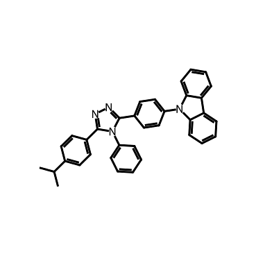 CC(C)c1ccc(-c2nnc(-c3ccc(-n4c5ccccc5c5ccccc54)cc3)n2-c2ccccc2)cc1